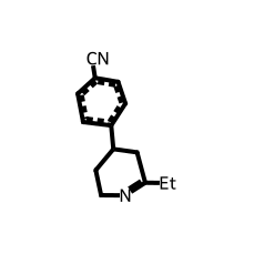 CCC1=NCCC(c2ccc(C#N)cc2)C1